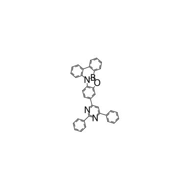 c1ccc(-c2cc(-c3ccc4c(c3)OB3c5ccccc5-c5ccccc5N34)nc(-c3ccccc3)n2)cc1